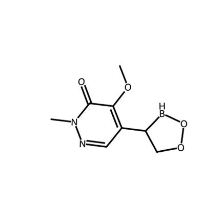 COc1c(C2BOOC2)cnn(C)c1=O